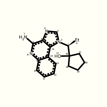 CC[C@H](n1cnc2c(N)nc3ccccc3c21)C1(O)CCCC1